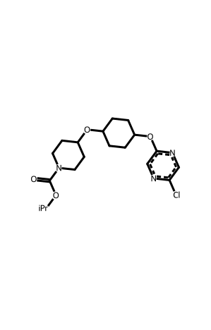 CC(C)OC(=O)N1CCC(OC2CCC(Oc3cnc(Cl)cn3)CC2)CC1